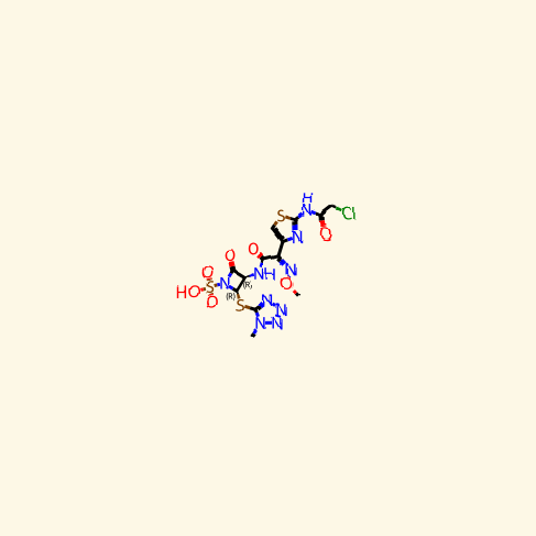 CON=C(C(=O)N[C@@H]1C(=O)N(S(=O)(=O)O)[C@@H]1Sc1nnnn1C)c1csc(NC(=O)CCl)n1